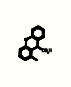 Cc1cccc2c1C(C(=O)O)c1ccccc1O2